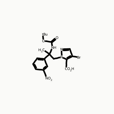 CC(C)(C)OC(=O)NC(C)(Cn1ncc(Br)c1C(=O)O)c1cccc([N+](=O)[O-])c1